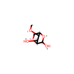 COC1C2COC(C(O)O2)C1O